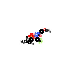 CCC(C)(C)c1ccc(Oc2ccc(C(F)(F)F)cc2NC(=O)Nc2ccc(OC)cc2)c(S(=O)(=O)O)c1